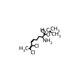 C/C(Cl)=C(Cl)\C=C/CCC(N)C(=O)OC(C)(C)C